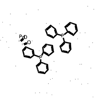 [C]=O.[C]=O.[Pd].c1ccc(P(c2ccccc2)c2ccccc2)cc1.c1ccc(P(c2ccccc2)c2ccccc2)cc1